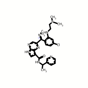 C/N=C(/c1cnc2[nH]cc(C(=O)NC(C)c3cccnc3)c2n1)c1ccc(Cl)cc1NCCN(C)C